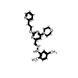 Cc1ccc(C)c(NN=Cc2cc(N3CCOCC3)nc(OCCc3ccccn3)n2)c1